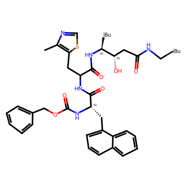 CCC(C)CNC(=O)C[C@H](O)[C@@H](NC(=O)C(Cc1scnc1C)NC(=O)[C@H](Cc1cccc2ccccc12)NC(=O)OCc1ccccc1)C(C)CC